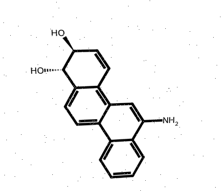 Nc1cc2c3c(ccc2c2ccccc12)[C@H](O)[C@@H](O)C=C3